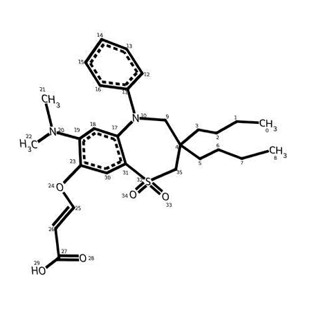 CCCCC1(CCCC)CN(c2ccccc2)c2cc(N(C)C)c(OC=CC(=O)O)cc2S(=O)(=O)C1